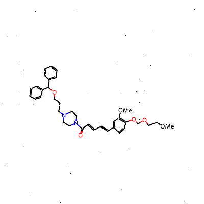 COCCOCOc1ccc(C=CC=CC(=O)N2CCN(CCCOC(c3ccccc3)c3ccccc3)CC2)cc1OC